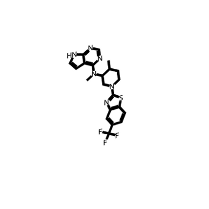 CC1CCN(c2nc3cc(C(F)(F)F)ccc3s2)CC1N(C)c1ncnc2[nH]ccc12